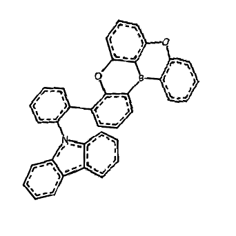 c1ccc2c(c1)Oc1cccc3c1B2c1cccc(-c2ccccc2-n2c4ccccc4c4ccccc42)c1O3